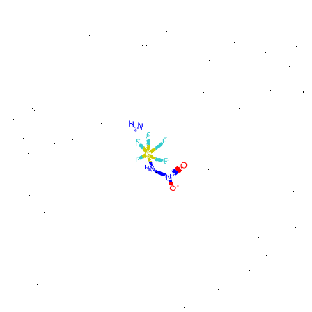 N.O=[N+]([O-])NS(F)(F)(F)(F)F